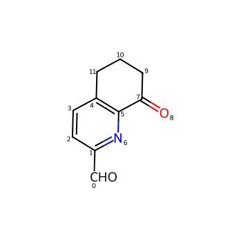 O=Cc1ccc2c(n1)C(=O)CCC2